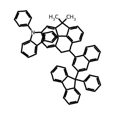 CC1(C)c2cc3c(cc2-c2c(C(Cc4ccccc4)c4cc(C5(c6ccccc6)c6ccccc6-c6ccccc65)cc5ccccc45)cccc21)c1ccccc1n3-c1ccccc1